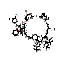 C=C1C[C@@H]2CCC(O)/C=C/[C@H](O[Si](C)(C)C(C)(C)C)[C@@H]3OC4CC[C@H](CC(=O)C(S(=O)(=O)c5ccccc5)[C@@H]5[C@@H](OC)[C@@H](C[C@H]6CNC(=O)O6)O[C@H]5C[C@@H]5C[C@H](C)C[C@H](CC[C@@H]1O2)O5)O[C@@H]4[C@H](O[Si](C)(C)C(C)(C)C)[C@@H]3O[Si](C)(C)C(C)(C)C